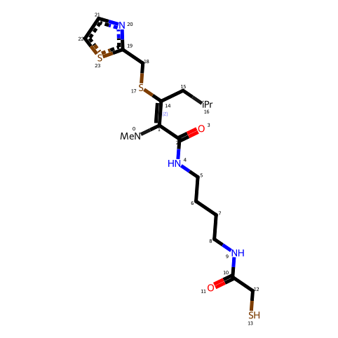 CN/C(C(=O)NCCCCNC(=O)CS)=C(/CC(C)C)SCc1nccs1